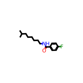 CC(C)CCCCCCNC(=O)c1ccc(F)cc1